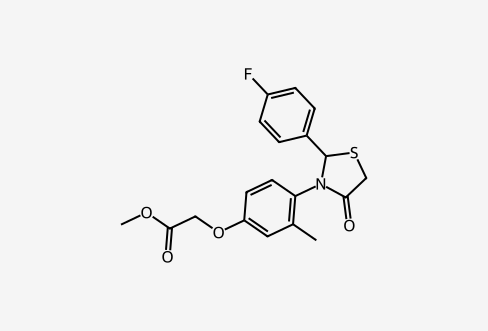 COC(=O)COc1ccc(N2C(=O)CSC2c2ccc(F)cc2)c(C)c1